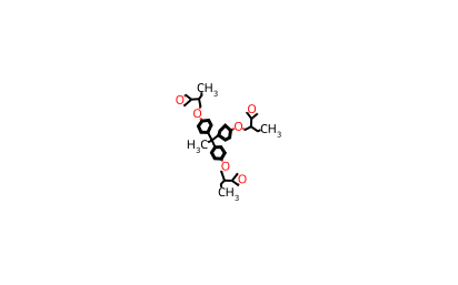 CCC(COc1ccc(C(C)(c2ccc(OCC(CC)C3COC3)cc2)c2ccc(OCC(CC)C3COC3)cc2)cc1)C1COC1